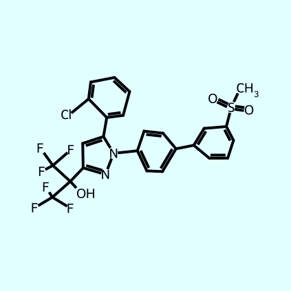 CS(=O)(=O)c1cccc(-c2ccc(-n3nc(C(O)(C(F)(F)F)C(F)(F)F)cc3-c3ccccc3Cl)cc2)c1